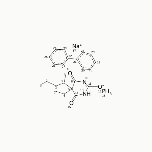 CCCC(C)C1(CC)C(=O)N=C([O-])NC1=O.P.[Na+].c1ccc(-c2ccccc2)cc1